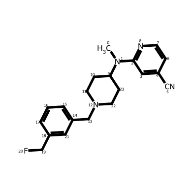 CN(c1cc(C#N)ccn1)C1CCN(Cc2cccc(CF)c2)CC1